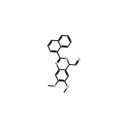 COc1cc2c(cc1OC)C(C=O)OC(c1cccc3ccccc13)=N2